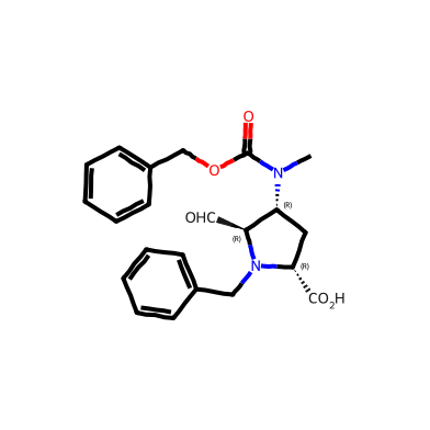 CN(C(=O)OCc1ccccc1)[C@@H]1C[C@H](C(=O)O)N(Cc2ccccc2)[C@H]1C=O